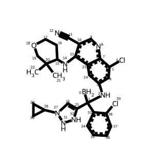 BC(Nc1cc(Cl)c2ncc(C#N)c(NC3CCOCC3(C)C)c2c1)(C1=CN(C2CC2)NN1)c1ccccc1Cl